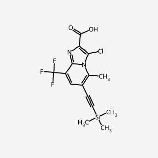 Cc1c(C#C[Si](C)(C)C)cc(C(F)(F)F)c2nc(C(=O)O)c(Cl)n12